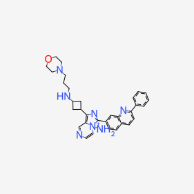 N[N+]12C=CN=CC1=C(C1CC(NCCCN3CCOCC3)C1)N=C2c1ccc2ccc(-c3ccccc3)nc2c1